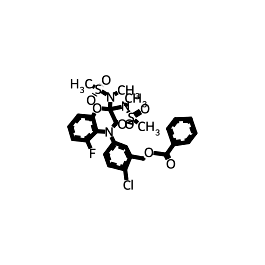 CN(C1(N(C)S(C)(=O)=O)Oc2cccc(F)c2N(c2ccc(Cl)c(COC(=O)c3ccccc3)c2)C1=O)S(C)(=O)=O